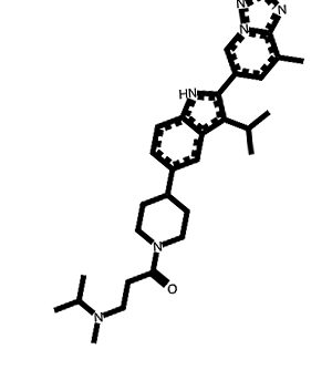 Cc1cc(-c2[nH]c3ccc(C4CCN(C(=O)CCN(C)C(C)C)CC4)cc3c2C(C)C)cn2nnnc12